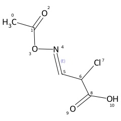 CC(=O)O/N=C/C(Cl)C(=O)O